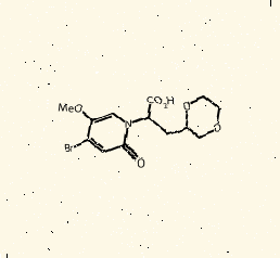 COc1cn(C(CC2COCCO2)C(=O)O)c(=O)cc1Br